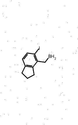 BCc1c(I)ccc2c1CCC2